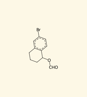 O=COC1CCCc2cc(Br)ccc21